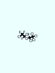 FC(F)(Cl)C(F)(Cl)OC(F)(Cl)C(Cl)(Cl)Cl